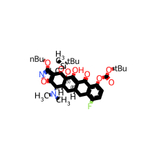 CCCCOc1noc2c1C(=O)[C@@]1(O[Si](C)(C)C(C)(C)C)C(O)=C3C(=O)c4c(OC(=O)OC(C)(C)C)ccc(F)c4C[C@H]3C[C@H]1[C@@H]2N(C)C